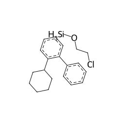 [SiH3]OCCCl.c1ccc(-c2ccccc2C2CCCCC2)cc1